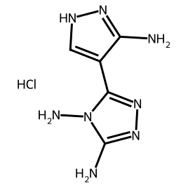 Cl.Nc1n[nH]cc1-c1nnc(N)n1N